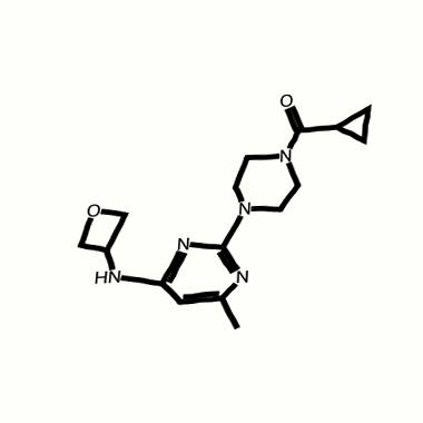 Cc1cc(NC2COC2)nc(N2CCN(C(=O)C3CC3)CC2)n1